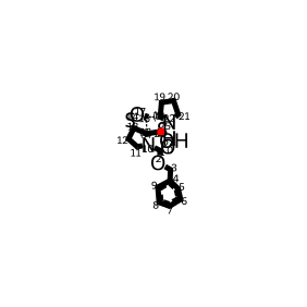 O=C(OCc1ccccc1)N1CCC(=S)[C@@]1(C(=O)[C@@H]1CCCN1)C(O)=S